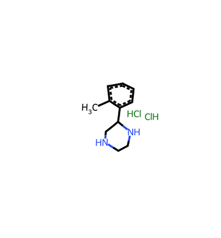 Cc1ccccc1C1CNCCN1.Cl.Cl